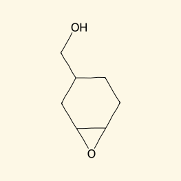 OCC1CCC2OC2C1